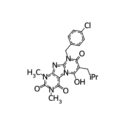 CC(C)Cc1c(O)n2c3c(=O)n(C)c(=O)n(C)c3nc2n(Cc2ccc(Cl)cc2)c1=O